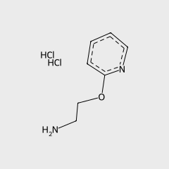 Cl.Cl.NCCOc1ccccn1